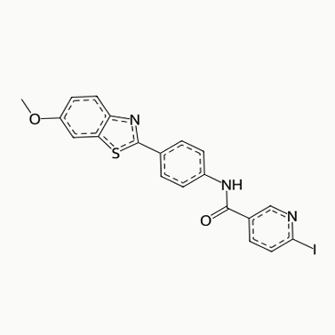 COc1ccc2nc(-c3ccc(NC(=O)c4ccc(I)nc4)cc3)sc2c1